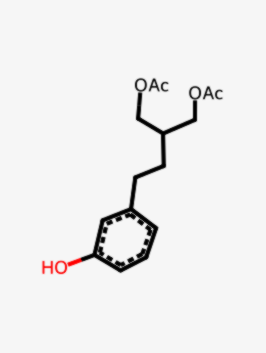 CC(=O)OCC(CCc1cccc(O)c1)COC(C)=O